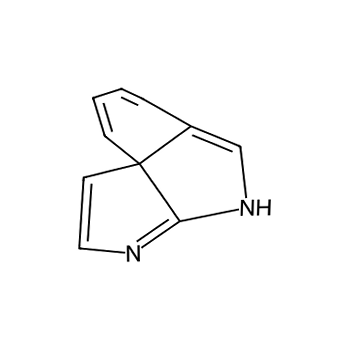 C1=CC2=CNC3=NC=CC23C=C1